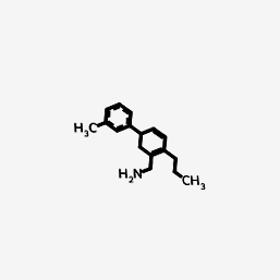 CCCC1=C(CN)CC(c2cccc(C)c2)C=C1